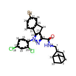 CC1(C)C2CCC(CNC(=O)c3nn(-c4ccc(Cl)cc4Cl)c4c3Cc3cc(Br)ccc3-4)C1C2